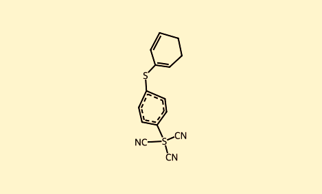 N#CS(C#N)(C#N)c1ccc(SC2=CCCC=C2)cc1